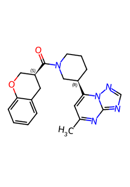 Cc1cc([C@@H]2CCCN(C(=O)[C@@H]3COc4ccccc4C3)C2)n2ncnc2n1